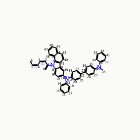 C=C(/C=C\C=C/C)n1c2ccc(N(c3ccccc3)c3ccc(-c4ccc(N(C)c5ccccc5)cc4)cc3)cc2c2ccc3ccccc3c21